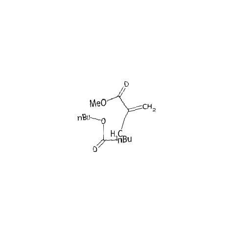 C=C(C)C(=O)OC.CCCCOC(=O)CCCC